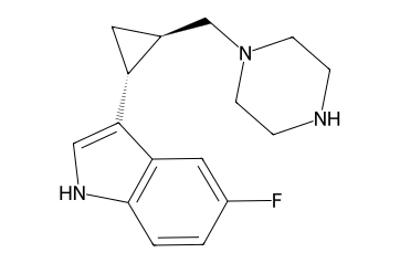 Fc1ccc2[nH]cc([C@@H]3C[C@H]3CN3CCNCC3)c2c1